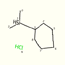 C[SiH](C)C1CCCCC1.Cl